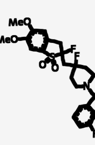 COc1cc2c(cc1OC)S(=O)(=O)C(F)(CC1(F)CCN(Cc3cccc(F)c3)CC1)C2